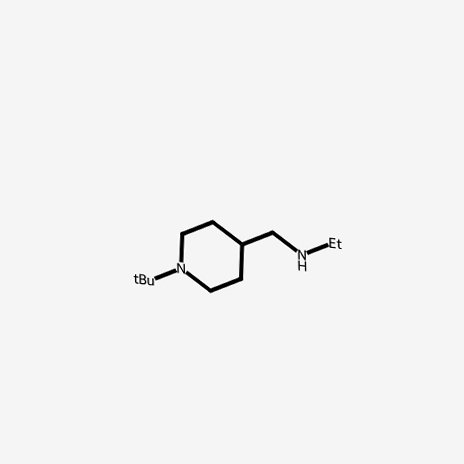 CCNCC1CCN(C(C)(C)C)CC1